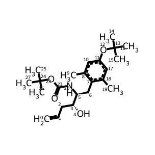 C=CC[C@@H](O)[C@H](Cc1c(C)cc(OC(C)(C)C)cc1C)NC(=O)OC(C)(C)C